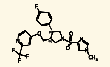 Cn1cnc(S(=O)(=O)N2C[C@@H](COc3ccnc(C(F)(F)F)c3)[C@H](c3ccc(F)cc3)C2)c1